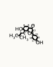 CC(C)=CCc1c(O)ccc2c(=O)cc(-c3ccc(O)cc3)oc12